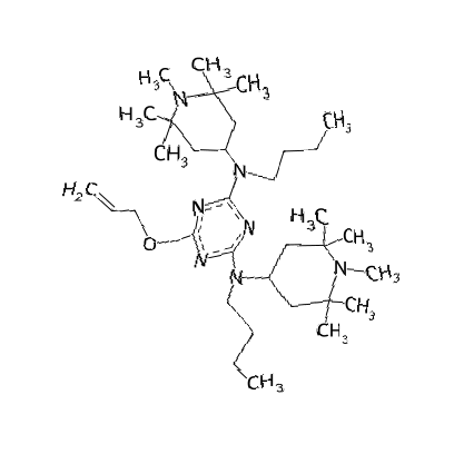 C=CCOc1nc(N(CCCC)C2CC(C)(C)N(C)C(C)(C)C2)nc(N(CCCC)C2CC(C)(C)N(C)C(C)(C)C2)n1